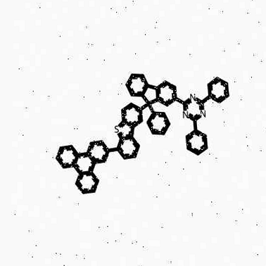 c1ccc(-c2nc(-c3ccccc3)nc(-c3ccc4c(c3)C(c3ccccc3)(c3ccc5sc6c(-c7ccc8c9ccccc9c9ccccc9c8c7)cccc6c5c3)c3ccccc3-4)n2)cc1